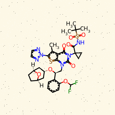 Cc1c(-n2nccn2)sc2c1c(=O)n(C1(C(=O)NS(=O)(=O)C(C)(C)C)CC1)c(=O)n2C[C@H](O[C@@H]1C[C@H]2CC[C@@H](C1)O2)c1ccccc1OC(F)F